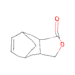 O=C1OCC2C3C=CC(C3)C12